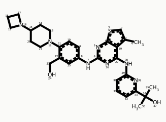 Cc1csc2nc(Nc3ccc(N4CCC(N5CCC5)CC4)c(CO)c3)nc(Nc3cccc(C(C)(C)O)n3)c12